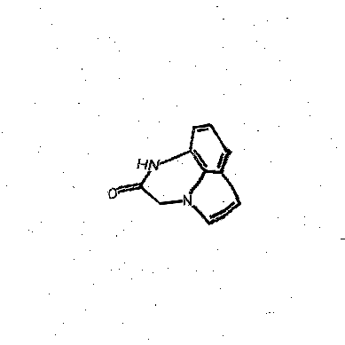 O=C1Cn2ccc3cccc(c32)N1